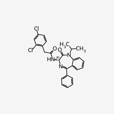 CC(C)N1C(=O)[C@H](NC(=O)Cc2ccc(Cl)cc2Cl)N=C(c2ccccc2)c2ccccc21